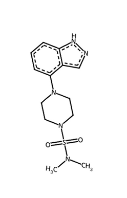 CN(C)S(=O)(=O)N1CCN(c2cccc3[nH]ncc23)CC1